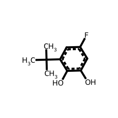 CC(C)(C)c1cc(F)cc(O)c1O